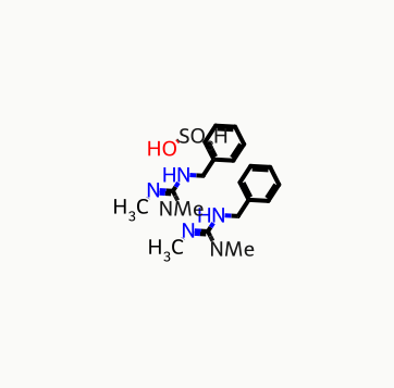 C/N=C(\NC)NCc1ccccc1.C/N=C(\NC)NCc1ccccc1.O=S(=O)(O)O